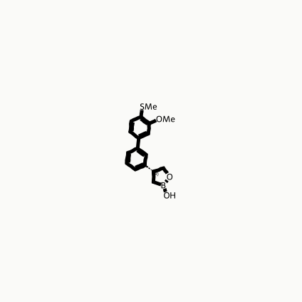 COc1cc(-c2cccc([C@@H]3COB(O)C3)c2)ccc1SC